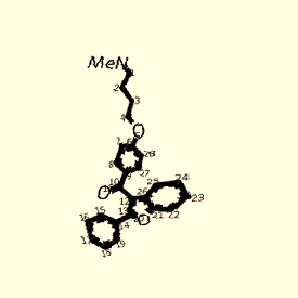 CNCCCCOc1ccc(C(=O)c2c(-c3ccccc3)oc3ccccc23)cc1